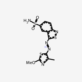 COc1nc(C)c(/N=N/c2snc3ccc(S(N)(=O)=O)cc23)s1